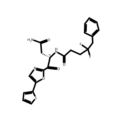 NC(=O)C[C@H](NC(=O)[CH]CC(F)(F)Cc1ccccc1)C(=O)c1ncc(-c2cccs2)o1